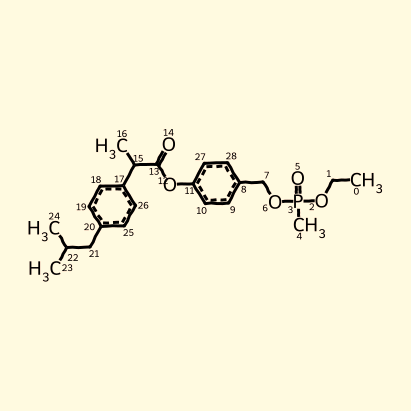 CCOP(C)(=O)OCc1ccc(OC(=O)C(C)c2ccc(CC(C)C)cc2)cc1